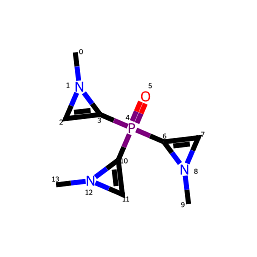 CN1C=C1P(=O)(C1=CN1C)C1=CN1C